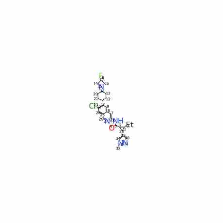 CC[C@@H]1[C@H](C(=O)Nc2cc3cc([C@H]4CC[C@H](N5CC(F)C5)CC4)c(Cl)cc3cn2)[C@H]1c1cnn(C)c1